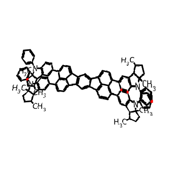 CC1CCC2(C)C1c1cc(-c3ccc4c5cc6c(cc5c5ccc(-c7ccc8c(c7)C7C(C)CCC7(C)N8c7ccccc7)c3c45)c3ccc(-c4ccc5c(c4)C4C(C)CCC4(C)N5c4ccccc4)c4c(-c5ccc7c(c5)C5C(C)CCC5(C)N7c5ccccc5)ccc6c43)ccc1N2c1ccccc1